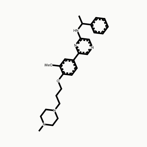 COc1cc(-c2cncc(NC(C)c3ccccc3)n2)ccc1OCCCN1CCN(C)CC1